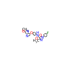 COc1cnc2c(Oc3ccc(NC(=O)c4c(C)ncn(-c5ccc(F)cc5)c4=O)cc3)ccnc2c1